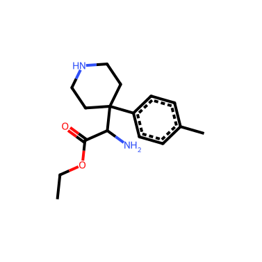 CCOC(=O)C(N)C1(c2ccc(C)cc2)CCNCC1